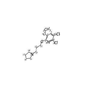 COc1cc(Cl)c(Cl)nc1OCCCN1CCCC1